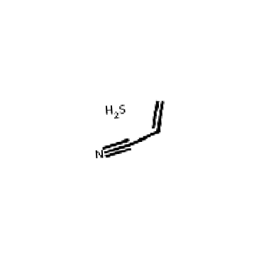 C=CC#N.S